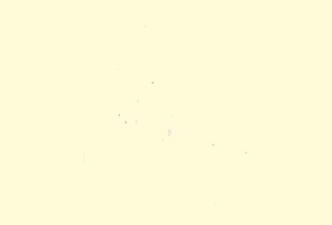 C=C/C(=C\C(=N/CS)c1ccccc1)c1ccccc1